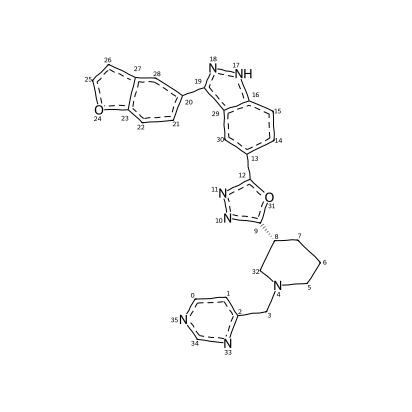 c1cc(CN2CCC[C@@H](c3nnc(-c4ccc5[nH]nc(-c6ccc7occc7c6)c5c4)o3)C2)ncn1